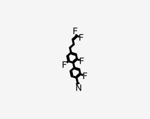 N#Cc1ccc(-c2c(F)cc(CCC=C(F)F)cc2F)cc1F